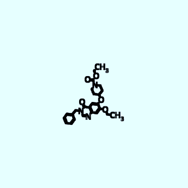 CCOC(=O)N1CCC(Oc2cc3c(=O)n(Cc4ccccc4)cnc3cc2OCC)CC1